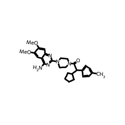 COc1cc2nc(N3CCN(C(=O)C(c4ccc(C)cc4)C4CCCC4)CC3)nc(N)c2cc1OC